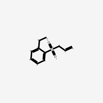 C=CCS(=O)(=O)c1ccccc1CC